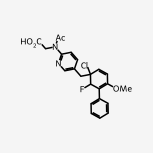 COC1=C(c2ccccc2)C(F)C(Cl)(Cc2ccc(N(CC(=O)O)C(C)=O)nc2)C=C1